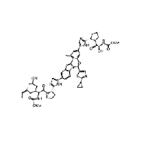 C/C=C(/C)CC(C[C@@H](C)O)C(NC(=O)OC)C(=O)N1CCC[C@H]1c1ncc(-c2ccc3c(c2)cc2n3C(c3cnc(C4CC4)s3)Oc3cc(-c4cnc([C@@H]5CCCN5C(=O)[C@@H](NC(=O)OC)C(C)C)[nH]4)cc(C)c3-2)[nH]1